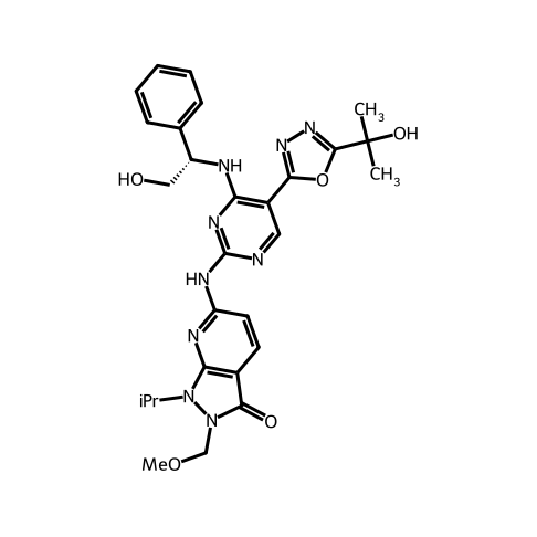 COCn1c(=O)c2ccc(Nc3ncc(-c4nnc(C(C)(C)O)o4)c(N[C@H](CO)c4ccccc4)n3)nc2n1C(C)C